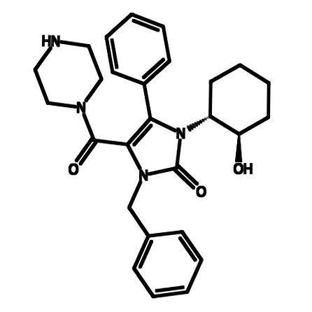 O=C(c1c(-c2ccccc2)n([C@@H]2CCCC[C@H]2O)c(=O)n1Cc1ccccc1)N1CCNCC1